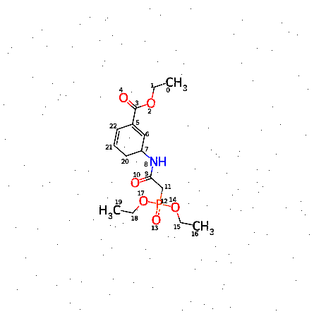 CCOC(=O)C1=CC(NC(=O)CP(=O)(OCC)OCC)CC=C1